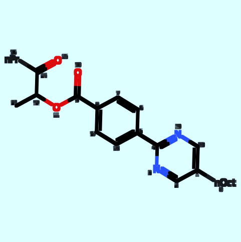 CCCCCCCCc1cnc(-c2ccc(C(=O)OC(C)C(=O)CCC)cc2)nc1